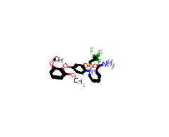 COc1cccc(OC)c1Oc1ccc([N+]2(S(=O)(=O)CC(F)(F)F)CC=CC=C2CN)cc1